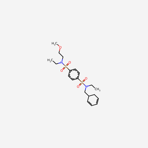 CCN(CCOC)S(=O)(=O)c1ccc(S(=O)(=O)N(CC)CC2C=CC=CC2)cc1